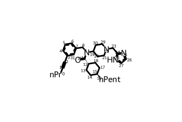 CCCC#Cc1cccc(CN(C(=O)[C@H]2CC[C@H](CCCCC)CC2)C2CCN(Cc3ncc[nH]3)CC2)c1